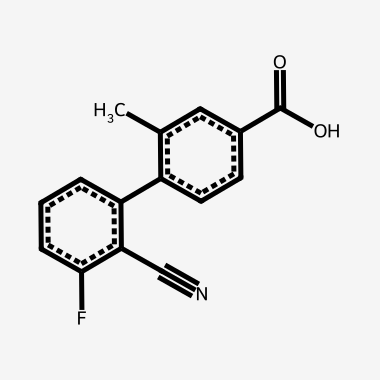 Cc1cc(C(=O)O)ccc1-c1cccc(F)c1C#N